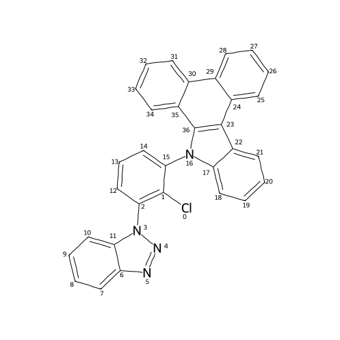 Clc1c(-n2nnc3ccccc32)cccc1-n1c2ccccc2c2c3ccccc3c3ccccc3c21